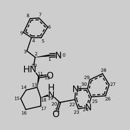 N#C[C@H](Cc1ccccc1)NC(=O)[C@@H]1CCCC[C@@H]1NC(=O)c1cnc2ccccc2n1